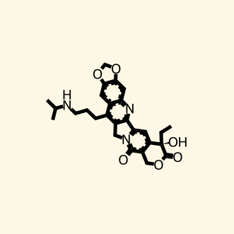 CC[C@@]1(O)C(=O)OCc2c1cc1n(c2=O)Cc2c-1nc1cc3c(cc1c2CCCNC(C)C)OCO3